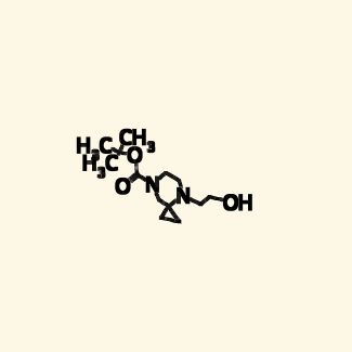 CC(C)(C)OC(=O)N1CCN(CCO)C2(CC2)C1